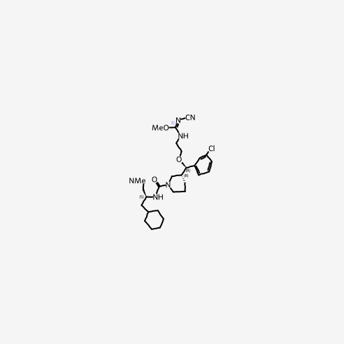 CNC[C@H](CC1CCCCC1)NC(=O)N1CCC[C@@H]([C@@H](OCCN/C(=N\C#N)OC)c2cccc(Cl)c2)C1